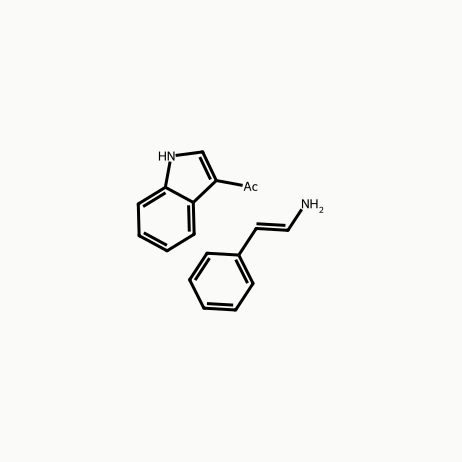 CC(=O)c1c[nH]c2ccccc12.NC=Cc1ccccc1